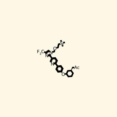 CC(=O)C[C@H]1CCCC(Oc2ccc(-c3ccc(-c4nc(C(F)(F)F)cn4COCC[Si](C)(C)C)cn3)cc2)C1